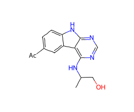 CC(=O)c1ccc2[nH]c3ncnc(NC(C)CO)c3c2c1